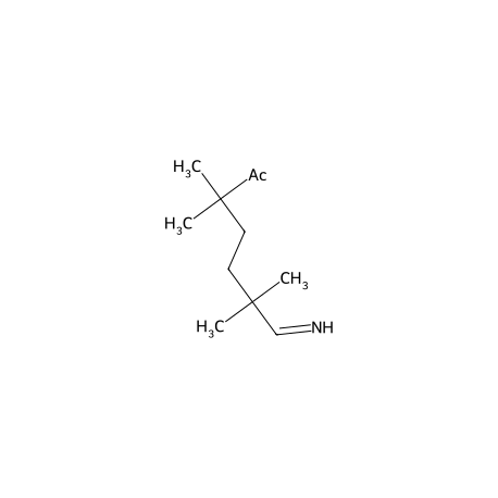 CC(=O)C(C)(C)CCC(C)(C)C=N